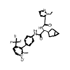 CCn1nccc1C(=O)N[C@H](C(=O)Nc1ccc(-c2c(C(F)(F)F)cc[n+]([O-])c2C)cc1)C1CC2CC2C1